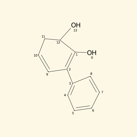 OC1=C(c2ccccc2)C=CCC1O